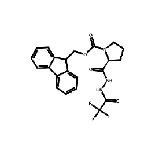 O=C(NNC(=O)C(F)(F)F)[C@@H]1CCCN1C(=O)OCC1c2ccccc2-c2ccccc21